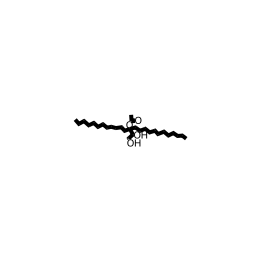 CCCCCCCCCCCCC(CCCCCCCCCCCC)(OC(C)=O)C(O)CO